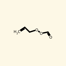 C=CCOOC=O